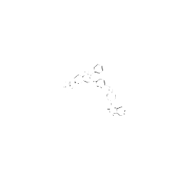 CN(C)S(=O)(=O)c1ccc2c(c1)=CN(c1ccc(CN3CCC(n4c(=O)[nH]c5ccccc54)CC3)cc1)C(c1ccccc1)N=2